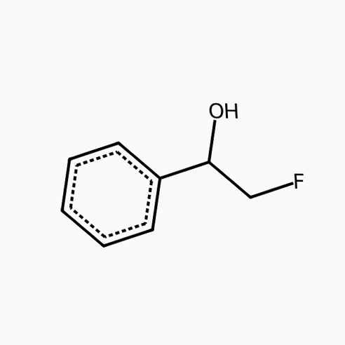 OC(CF)c1ccccc1